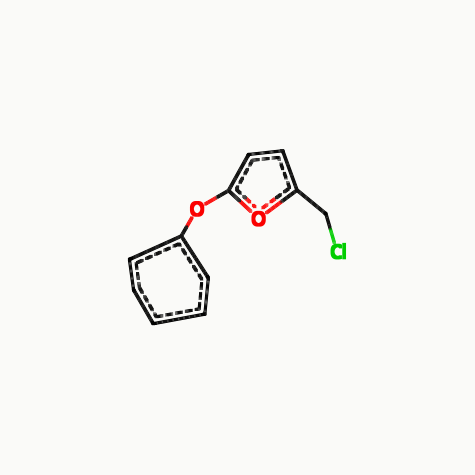 ClCc1ccc(Oc2ccccc2)o1